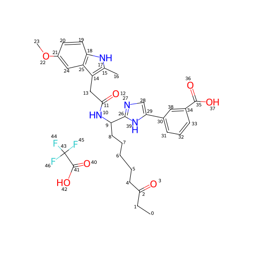 CCC(=O)CCCCCC(NC(=O)Cc1c(C)[nH]c2ccc(OC)cc12)c1ncc(-c2cccc(C(=O)O)c2)[nH]1.O=C(O)C(F)(F)F